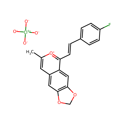 Cc1cc2cc3c(cc2c(C=Cc2ccc(F)cc2)[o+]1)OCO3.[O-][Cl+3]([O-])([O-])[O-]